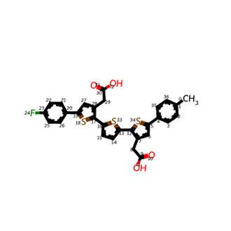 Cc1ccc(-c2cc(CC(=O)O)c(-c3ccc(-c4sc(-c5ccc(F)cc5)cc4CC(=O)O)s3)s2)cc1